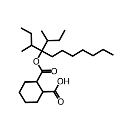 CCCCCCCC(OC(=O)C1CCCCC1C(=O)O)(C(C)CC)C(C)CC